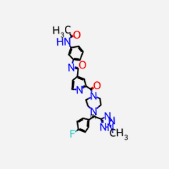 CC(=O)Nc1ccc2oc(-c3ccnc(C(=O)N4CCN([C@H](c5ccc(F)cc5)c5nnn(C)n5)CC4)c3)nc2c1